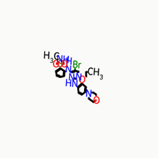 CCCOc1cc(N2CCOCC2)ccc1Nc1ncc(Br)c(Nc2ccccc2S(=O)(=O)NC)n1